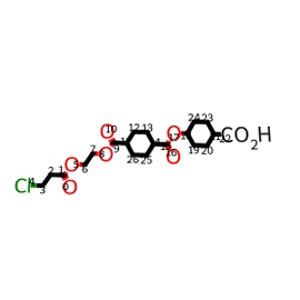 O=C(CCCl)OCCOC(=O)C1CCC(C(=O)OC2CCC(C(=O)O)CC2)CC1